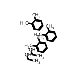 CCO.CCO.Cc1ccccc1C.Cc1ccccc1C.Cc1ccccc1C